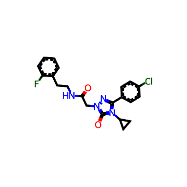 O=C(Cn1nc(-c2ccc(Cl)cc2)n(C2CC2)c1=O)NCCc1ccccc1F